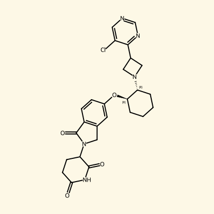 O=C1CCC(N2Cc3cc(O[C@@H]4CCCC[C@H]4N4CC(c5ncncc5Cl)C4)ccc3C2=O)C(=O)N1